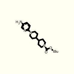 CC(C)(C)OC(=O)N1CCC(C2CCN(c3ccc(N)cn3)CC2)CC1